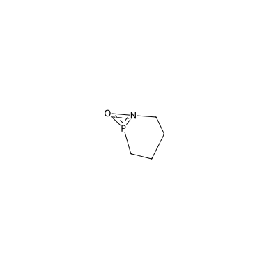 C1CCp2on2C1